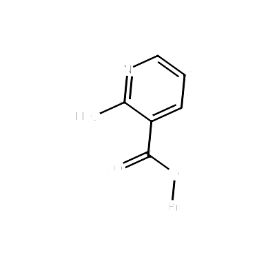 Cc1ncccc1C(=O)OBr